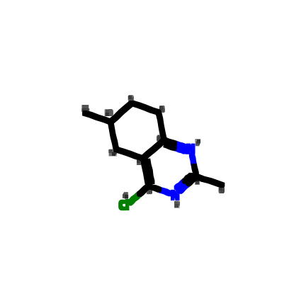 Cc1nc(Cl)c2c(n1)CCC(C)C2